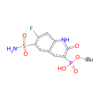 CCC(C)OP(=O)(O)c1cc2cc(S(N)(=O)=O)c(F)cc2[nH]c1=O